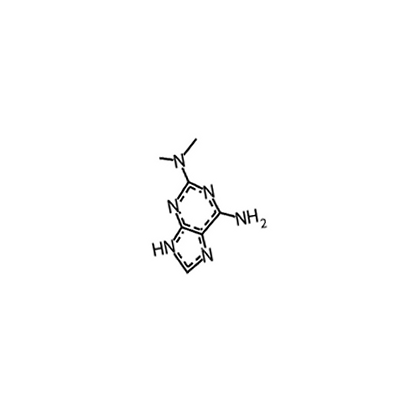 CN(C)c1nc(N)c2nc[nH]c2n1